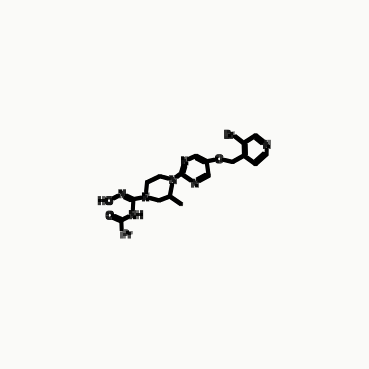 CC(C)C(=O)N/C(=N\O)N1CCN(c2ncc(OCc3ccncc3Br)cn2)C(C)C1